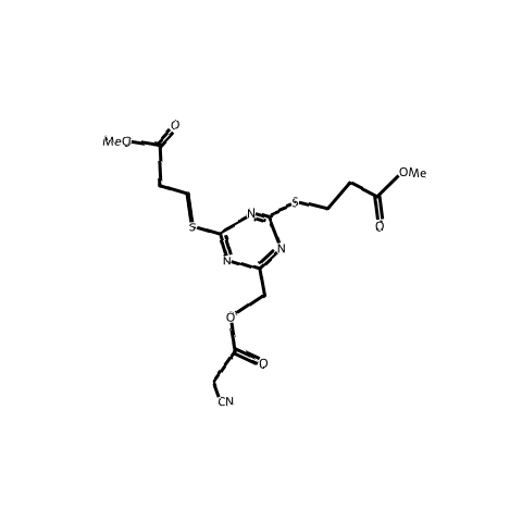 COC(=O)CCSc1nc(COC(=O)CC#N)nc(SCCC(=O)OC)n1